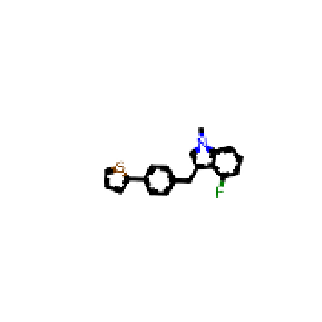 Cn1cc(Cc2ccc(-c3cccs3)cc2)c2c(F)cccc21